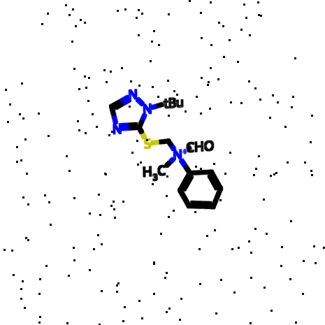 CC(C)(C)n1ncnc1SC[N+](C)(C=O)c1ccccc1